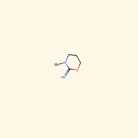 CC(C)(C)N1CCCOC1=N